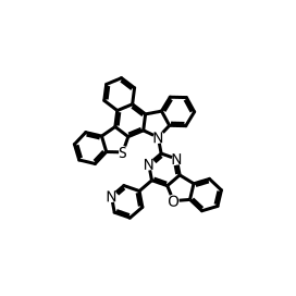 c1cncc(-c2nc(-n3c4ccccc4c4c5ccccc5c5c6ccccc6sc5c43)nc3c2oc2ccccc23)c1